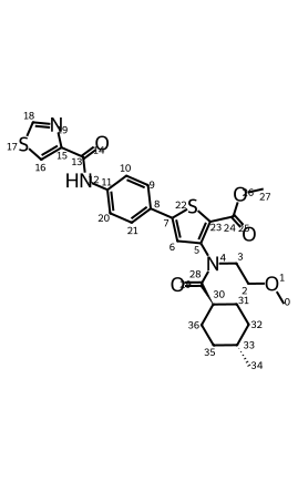 COCCN(c1cc(-c2ccc(NC(=O)c3cscn3)cc2)sc1C(=O)OC)C(=O)[C@H]1CC[C@H](C)CC1